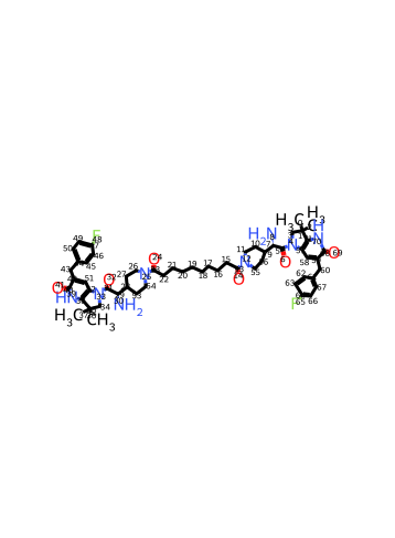 CC1(C)CN(C(=O)[C@@H](N)C2CCN(C(=O)CCCCCCCCC(=O)N3CCC([C@H](N)C(=O)N4CC(C)(C)c5[nH]c(=O)c(Cc6ccc(F)cc6)cc54)CC3)CC2)c2cc(Cc3ccc(F)cc3)c(=O)[nH]c21